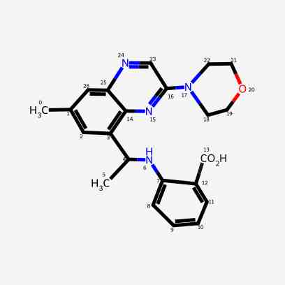 Cc1cc(C(C)Nc2ccccc2C(=O)O)c2nc(N3CCOCC3)cnc2c1